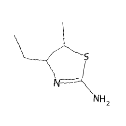 CCC1N=C(N)SC1C